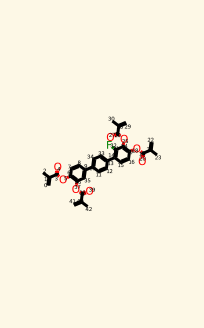 C=C(C)C(=O)Oc1ccc(-c2ccc(-c3ccc(OC(=O)C(=C)C)c(OC(=O)C(=C)C)c3F)cc2)cc1OC(=O)C(=C)C